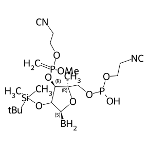 B[C@@H]1O[C@](C)(COP(O)OCC[N+]#[C-])[C@H](OP(=C)(OC)OCC[N+]#[C-])C1O[Si](C)(C)C(C)(C)C